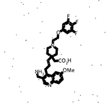 COc1ccc2ncc(CN)c(CCCC3(CC(=O)O)CCN(CCOc4cc(F)c(F)c(F)c4)CC3)c2c1